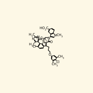 Cc1nc(C)c(-c2c(Cl)ccc3c(CCCOc4cc(C)c(Cl)c(C)c4)c4n(c23)[C@H](C)CN(c2cn(C)c3ccc(C(=O)O)cc23)C4=O)c(C)n1